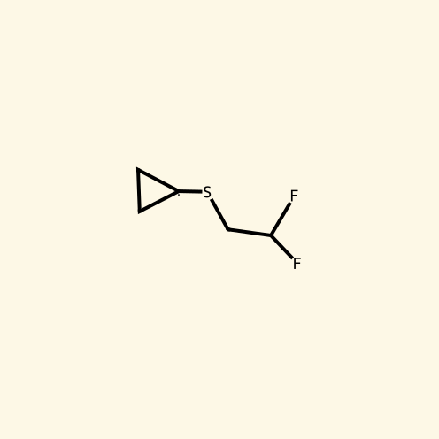 FC(F)CS[C]1CC1